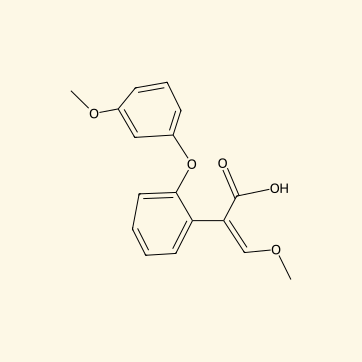 COC=C(C(=O)O)c1ccccc1Oc1cccc(OC)c1